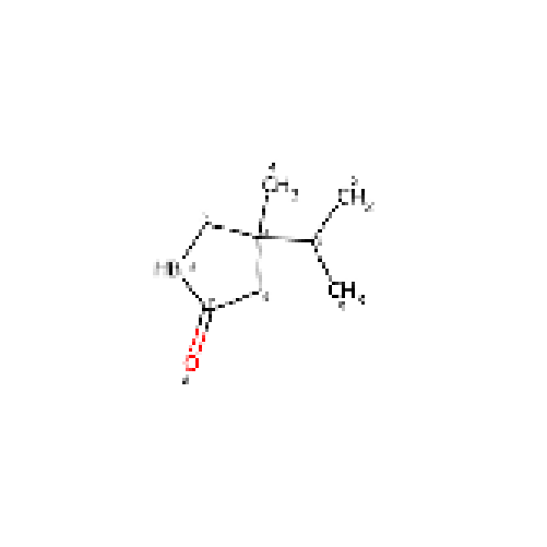 CC(C)C1(C)CBC(=O)C1